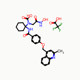 Cc1cc(COc2ccc(C(=O)NC3(N(CC(=O)NO)C(=O)O)CCCCC3)cc2)c2ccccc2n1.O=C(O)C(F)(F)F